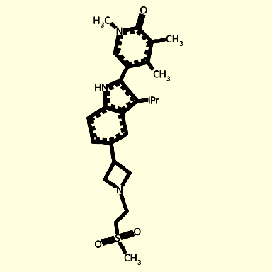 Cc1c(-c2[nH]c3ccc(C4CN(CCS(C)(=O)=O)C4)cc3c2C(C)C)cn(C)c(=O)c1C